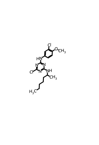 CCCCCC(C)Nc1nc(Cl)nc(Nc2ccc(OC)c(Cl)c2)n1